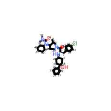 CC1CN(C(=O)[C@@H](Cc2ccc(Cl)cc2)NC2CCC(O)(c3ccccc3)CC2)CCC1N(C(=O)N(C)C)C1CCCCC1